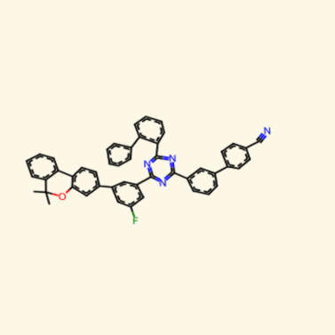 CC1(C)Oc2cc(-c3cc(F)cc(-c4nc(-c5cccc(-c6ccc(C#N)cc6)c5)nc(-c5ccccc5-c5ccccc5)n4)c3)ccc2-c2ccccc21